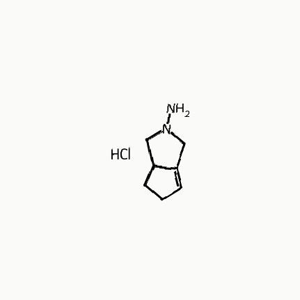 Cl.NN1CC2=CCCC2C1